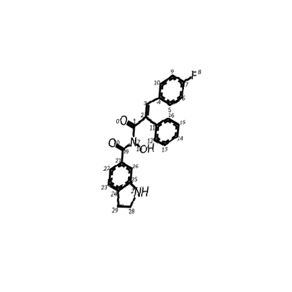 O=C(C(=Cc1ccc(F)cc1)c1ccccc1)N(O)C(=O)c1ccc2c(c1)NCC2